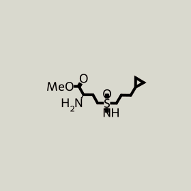 COC(=O)[C@@H](N)CCS(=N)(=O)CCCC1CC1